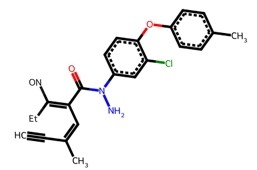 C#C/C(C)=C\C(C(=O)N(N)c1ccc(Oc2ccc(C)cc2)c(Cl)c1)=C(/CC)N=O